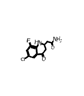 NC(=O)CC1CC(=O)c2cc(Cl)cc(F)c2N1